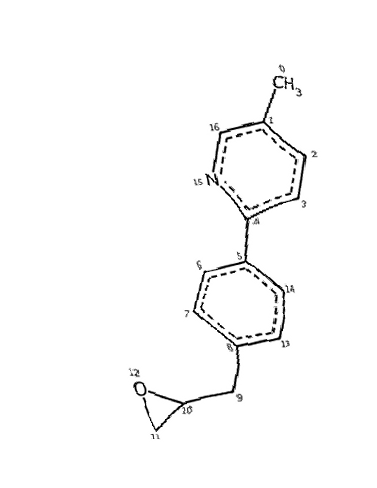 Cc1ccc(-c2ccc(CC3CO3)cc2)nc1